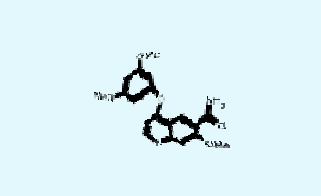 COc1cc(OC)cc(Oc2ccnc3cc(OC)c(C(N)=O)cc23)c1